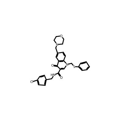 O=C(NCc1ccc(Cl)cc1)c1cn(CSc2ccccc2)c2ccc(CN3CCOCC3)cc2c1=O